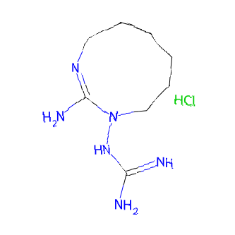 Cl.N=C(N)NN1CCCCCCN=C1N